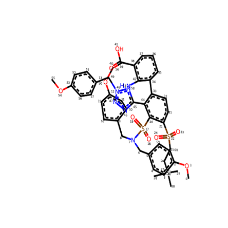 COc1ccc(CN(Cc2ccc(OC)cc2)S(=O)(=O)c2c(S(=O)(=O)CC[Si](C)(C)C)ccc(-c3cccc(C(=O)O)c3N)c2-c2nnn(Cc3ccc(OC)cc3)n2)cc1